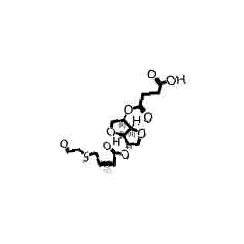 O=CCSC/C=C\C(=O)O[C@H]1CO[C@H]2[C@@H]1OC[C@H]2OC(=O)CCC(=O)O